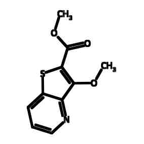 COC(=O)c1sc2cccnc2c1OC